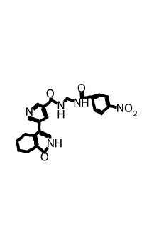 O=C(NCNC(=O)c1cncc(-c2c[nH]c(=O)c3c2CCCC3)c1)c1ccc([N+](=O)[O-])cc1